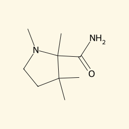 CN1CCC(C)(C)C1(C)C(N)=O